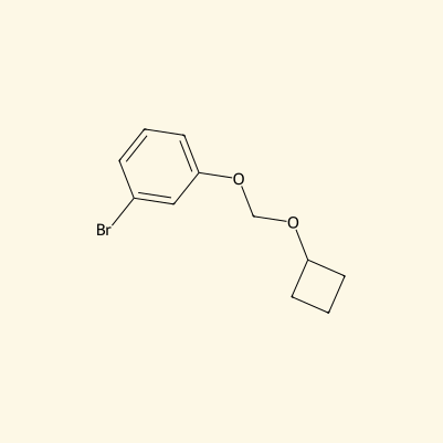 Brc1cccc(OCOC2CCC2)c1